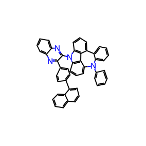 c1ccc(-n2c3ccccc3c3cccc4c3c3c2cccc3n4-c2nc3ccccc3nc2-c2ccc(-c3cccc4ccccc34)cc2)cc1